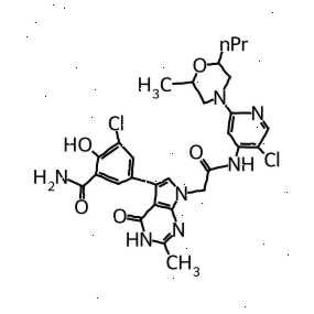 CCCC1CN(c2cc(NC(=O)Cn3cc(-c4cc(Cl)c(O)c(C(N)=O)c4)c4c(=O)[nH]c(C)nc43)c(Cl)cn2)CC(C)O1